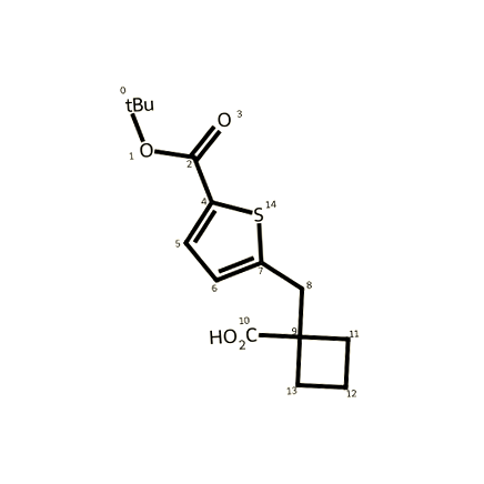 CC(C)(C)OC(=O)c1ccc(CC2(C(=O)O)CCC2)s1